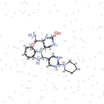 NC(=O)c1nc(O)ncc1N1c2ccccc2NC1c1cnc(N2CCCCC2)nc1